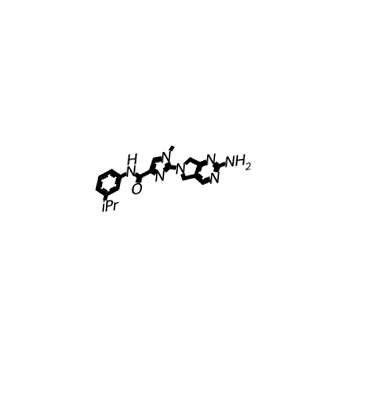 CC(C)c1cccc(NC(=O)c2cn(C)c(N3Cc4cnc(N)nc4C3)n2)c1